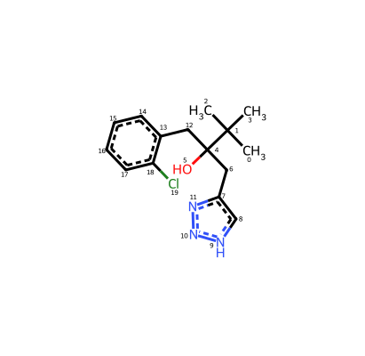 CC(C)(C)C(O)(Cc1c[nH]nn1)Cc1ccccc1Cl